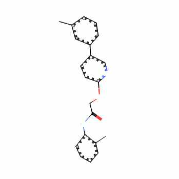 Cc1cccc(-c2ccc(OCC(=O)Nc3ccccc3C(=O)O)nc2)c1.Cl